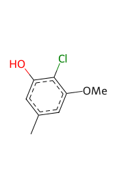 COc1cc(C)cc(O)c1Cl